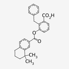 CC1(C)CCCc2ccc(C(=O)Oc3cccc(C(=O)O)c3Cc3ccccc3)cc21